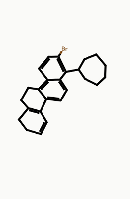 Brc1ccc2c3c(ccc2c1C1CCCCCC1)C1=C(CCC=C1)CC3